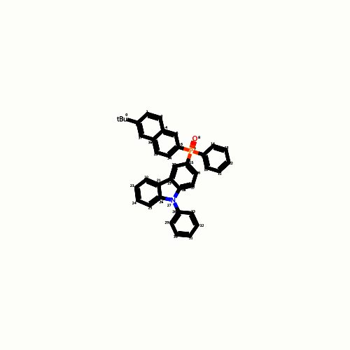 CC(C)(C)c1ccc2cc(P(=O)(c3ccccc3)c3ccc4c(c3)c3ccccc3n4-c3ccccc3)ccc2c1